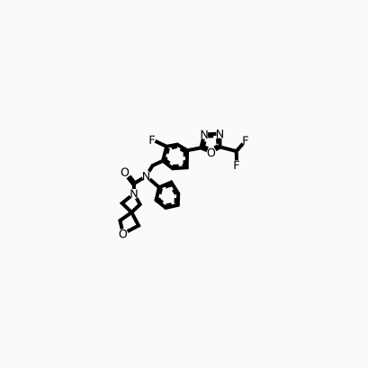 O=C(N1CC2(COC2)C1)N(Cc1ccc(-c2nnc(C(F)F)o2)cc1F)c1ccccc1